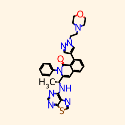 C[C@H](Nc1ncnc2scnc12)c1cc2cccc(-c3cnn(CCN4CCOCC4)c3)c2c(=O)n1-c1ccccc1